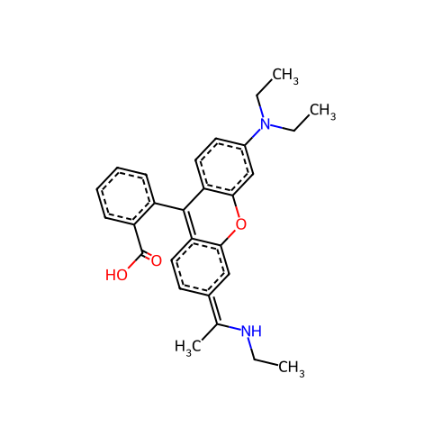 CCNC(C)=c1ccc2c(c1)Oc1cc(N(CC)CC)ccc1C=2c1ccccc1C(=O)O